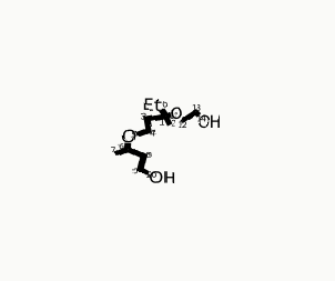 CCC(C)(CCOC(C)CCO)OCCO